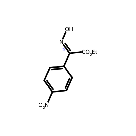 CCOC(=O)/C(=N\O)c1ccc([N+](=O)[O-])cc1